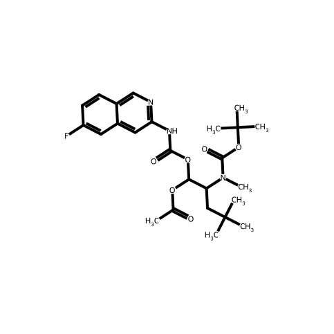 CC(=O)OC(OC(=O)Nc1cc2cc(F)ccc2cn1)C(CC(C)(C)C)N(C)C(=O)OC(C)(C)C